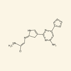 CN/C(Cl)=C\N=C1/CC(c2nc(N)cc(-c3ccsc3)n2)=CN1